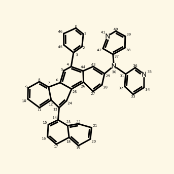 c1ccc(-c2cc3c4ccccc4c(-c4cccc5ccccc45)cc3c3ccc(N(c4cccnc4)c4cccnc4)cc23)cc1